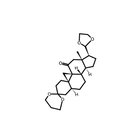 C[C@]12CC(=O)[C@@]34C[C@@]35CCC3(C[C@@H]5CC[C@H]4[C@@H]1CC[C@@H]2C1OCCO1)OCCCO3